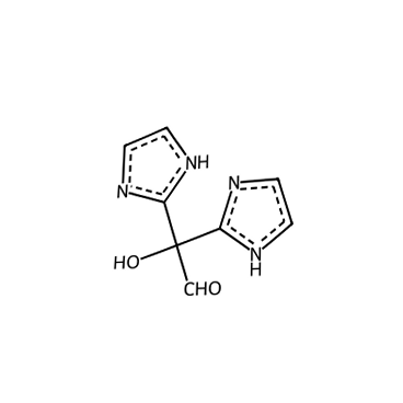 O=CC(O)(c1ncc[nH]1)c1ncc[nH]1